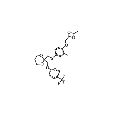 Cc1cc(SCC2(COc3ccc(C(F)(F)F)cc3)OCCCO2)ccc1OCC1OC(C)O1